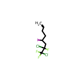 C=CCCC(I)CC(F)(Cl)C(F)(F)Cl